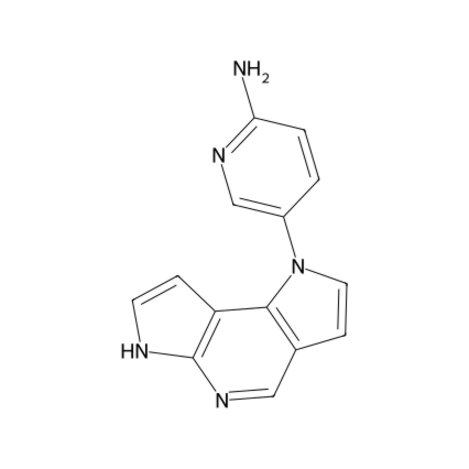 Nc1ccc(-n2ccc3cnc4[nH]ccc4c32)cn1